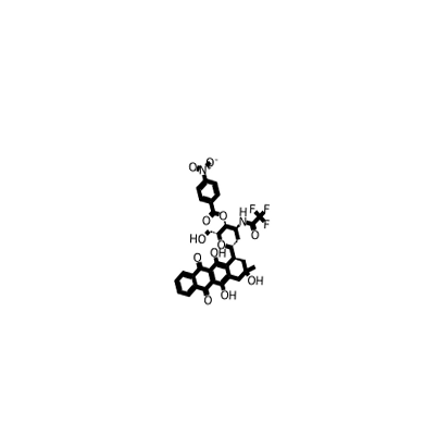 CC1(O)Cc2c(O)c3c(c(O)c2[C@@H]([C@H]2C[C@H](NC(=O)C(F)(F)F)[C@@H](OC(=O)c4ccc([N+](=O)[O-])cc4)[C@@H](CO)O2)C1)C(=O)c1ccccc1C3=O